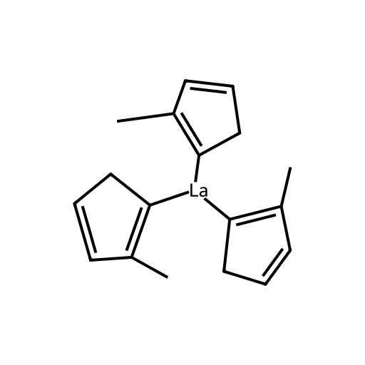 CC1=[C]([La]([C]2=C(C)C=CC2)[C]2=C(C)C=CC2)CC=C1